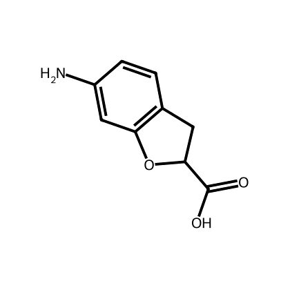 Nc1ccc2c(c1)OC(C(=O)O)C2